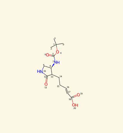 CC(C)(C)OC(=O)N[C@@H]1CNC(=O)C1CCC=CC(=O)O